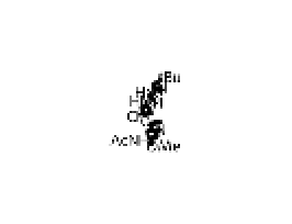 COc1cc2nccc(Oc3ccc(NC(=O)Nc4cc(C(C)(C)C)n[nH]4)cc3Cl)c2cc1NC(C)=O